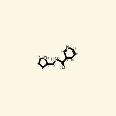 O=C(NCC1CCCO1)c1cccnc1